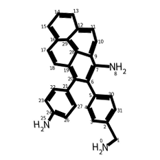 NCc1ccc(-c2c(N)c3ccc4cccc5ccc(c2-c2ccc(N)cc2)c3c45)cc1